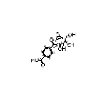 C1CO1.O=C(O)c1ccc(C(=O)O)cc1.OCC(O)CO